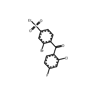 CCS(=O)(=O)c1ccc(C(=O)c2ccc(F)cc2Cl)c(Br)c1